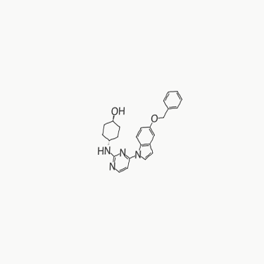 O[C@H]1CC[C@H](Nc2nccc(-n3ccc4cc(OCc5ccccc5)ccc43)n2)CC1